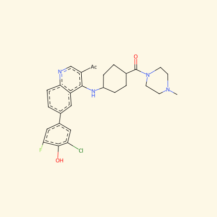 CC(=O)c1cnc2ccc(-c3cc(F)c(O)c(Cl)c3)cc2c1NC1CCC(C(=O)N2CCN(C)CC2)CC1